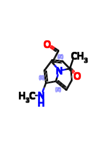 CNC1=C/C=C\CC\C=C\1N(CC=O)C(C)=O